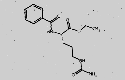 CCOC(=O)[C@H](CCCNC(N)=O)NC(=O)c1ccccc1